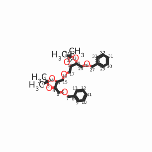 CC1(C)OC(COCc2ccccc2)C(COCC2OC(C)(C)OC2COCc2ccccc2)O1